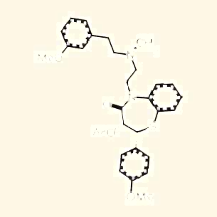 COc1ccc([C@H]2Sc3ccccc3N(CCN(C)CCc3cccc(OC)c3)C(=O)[C@H]2OC(C)=O)cc1